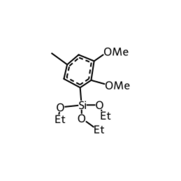 CCO[Si](OCC)(OCC)c1cc(C)cc(OC)c1OC